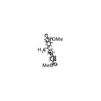 COCn1c(=O)sc2cc(C(C)c3ccn(-c4ccc(C(=O)OC)nn4)n3)ccc21